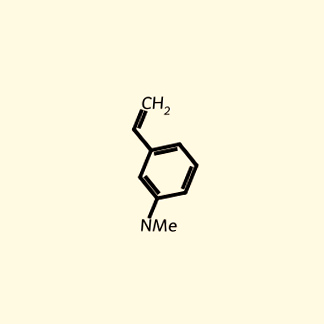 C=Cc1cccc(NC)c1